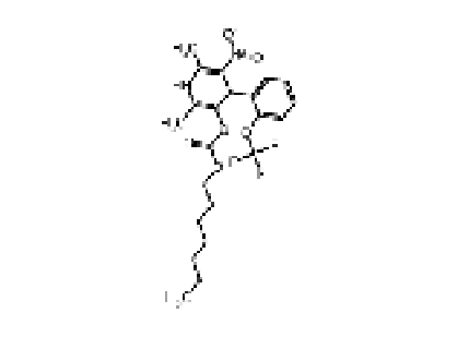 CCCCCCCOC(=O)OC1=C(C)NC(C)=C([N+](=O)[O-])C1c1ccccc1OC(F)(F)F